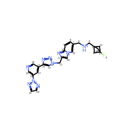 FC12CC(CNCc3ccc4nc(Cn5cc(-c6cncc(-n7nccn7)c6)nn5)cn4c3)(C1)C2